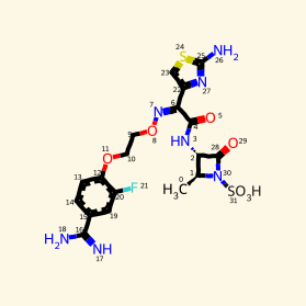 C[C@H]1[C@H](NC(=O)/C(=N\OCCOc2ccc(C(=N)N)cc2F)c2csc(N)n2)C(=O)N1S(=O)(=O)O